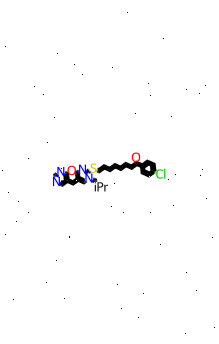 CC(C)Cn1cc(Cc2cncnc2)c(=O)nc1SCCCCCCCC(=O)c1ccc(Cl)cc1